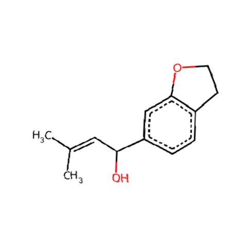 CC(C)=CC(O)c1ccc2c(c1)OCC2